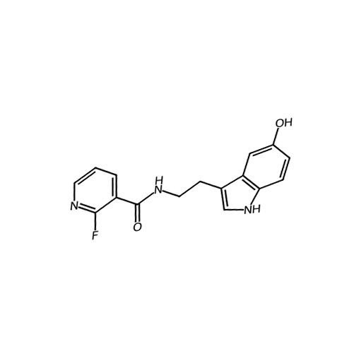 O=C(NCCc1c[nH]c2ccc(O)cc12)c1cccnc1F